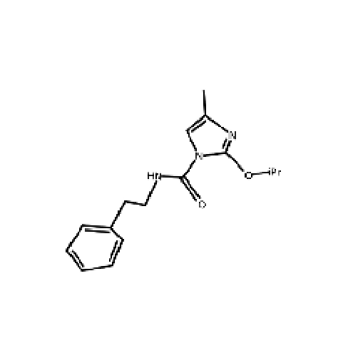 Cc1cn(C(=O)NCCc2ccccc2)c(OC(C)C)n1